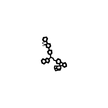 c1ccc2c(c1)-c1ccc(CCC(c3ccc(-c4ccc5c(c4)sc4ccccc45)cc3)c3ccc4ccccc4c3)cc1C21C2CC3CC(C2)CC1C3